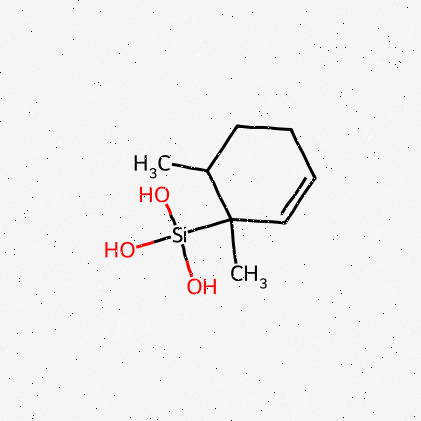 CC1CCC=CC1(C)[Si](O)(O)O